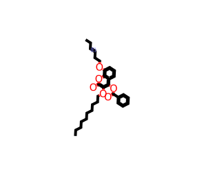 CC/C=C/CCOc1cccc2c(OC(=O)c3ccccc3)c(OCCCCCCCCCC)c(=O)oc12